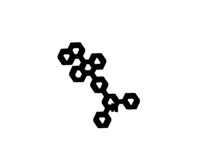 C1=Cc2c(c(-c3ccc(-c4cc(-c5ccccc5)nc(-c5ccccc5)c4)cc3)c3ccccc3c2-c2cccc3ccccc23)CC1